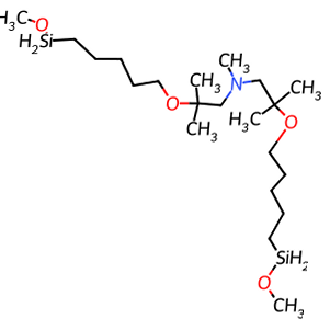 CO[SiH2]CCCCCOC(C)(C)CN(C)CC(C)(C)OCCCCC[SiH2]OC